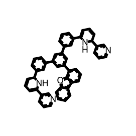 C1=CC(c2cccnc2)NC(c2cccc(-c3cc(-c4cccc(C5C=CC=C(c6cccnc6)N5)c4)cc(-c4cccc5c4oc4ccccc45)c3)c2)=C1